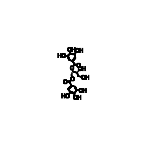 O=C(OC[C@H](OC(=O)c1cc(O)c(O)c(O)c1)[C@H](O)CO)c1cc(O)c(O)c(O)c1